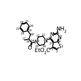 CCOC(=O)c1csc2nc(N)nc(N3CCN(C(=O)C(C)Cc4ccccc4)CC3)c12